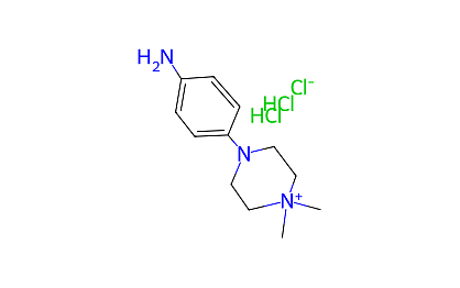 C[N+]1(C)CCN(c2ccc(N)cc2)CC1.Cl.Cl.[Cl-]